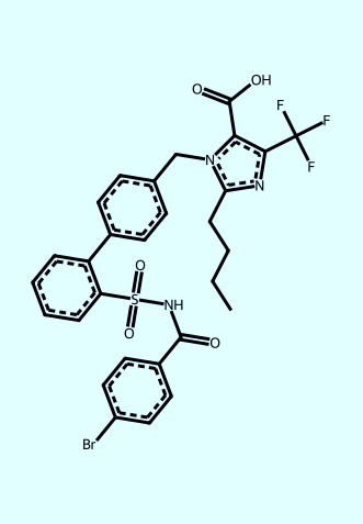 CCCCc1nc(C(F)(F)F)c(C(=O)O)n1Cc1ccc(-c2ccccc2S(=O)(=O)NC(=O)c2ccc(Br)cc2)cc1